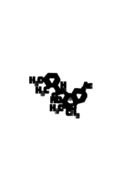 CC(=O)c1ccc2c(c1)[C@H](NC(=O)c1cccc(C)c1C)[C@@H](O)C(C)(C)O2